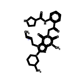 C/C=C/Cn1c(N2CCCC(N)C2)nc2c1c(=O)n(CC(=O)c1ccccc1NC(=O)C1CCNC1)c(=O)n2C